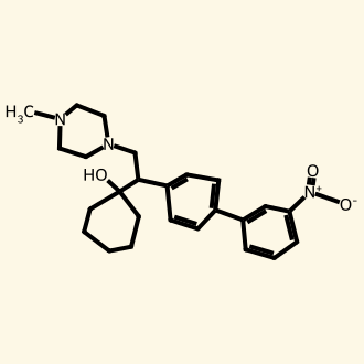 CN1CCN(CC(c2ccc(-c3cccc([N+](=O)[O-])c3)cc2)C2(O)CCCCC2)CC1